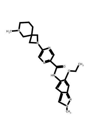 CCOc1cc2nn(C)cc2cc1NC(=O)c1cnc(N2CC3(CCCN(C)C3)C2)cn1